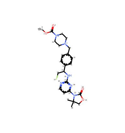 CC(C)(C)OC(=O)N1CCN(Cc2ccc(C(CF)Nc3nccc(N4C(=O)OCC4(C)C)n3)cc2)CC1